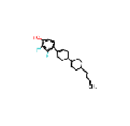 C=CCCC1CCC(C2CC=C(c3ccc(O)c(F)c3F)CC2)CC1